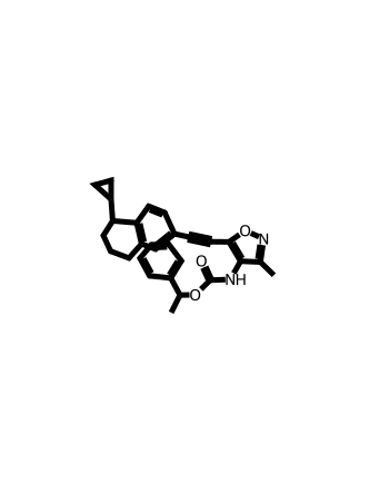 Cc1noc(C#Cc2ccc3c(c2)CCCC3C2CC2)c1NC(=O)OC(C)c1ccccc1